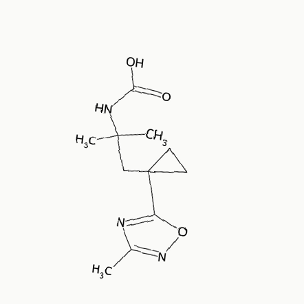 Cc1noc(C2(CC(C)(C)NC(=O)O)CC2)n1